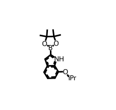 CC(C)Oc1cccc2cc(B3OC(C)(C)C(C)(C)O3)[nH]c12